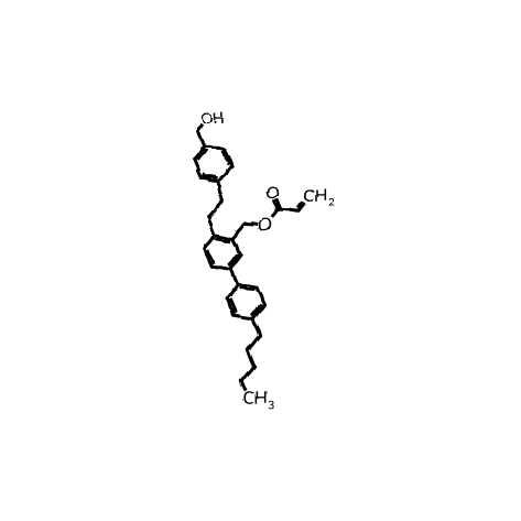 C=CC(=O)OCc1cc(-c2ccc(CCCCC)cc2)ccc1CCc1ccc(CO)cc1